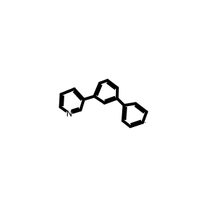 [c]1ccc(-c2cccc(-c3cccnc3)c2)cc1